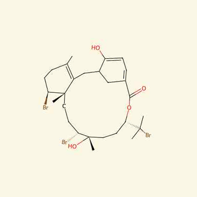 CC1=C2CC3CC(=CC=C3O)C(=O)O[C@H](C(C)(C)Br)CC[C@](C)(O)[C@H](Br)CC[C@]2(C)[C@@H](Br)CC1